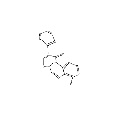 O=C1C(c2ccccn2)=COC2C=Cc3c(F)cccc3C12